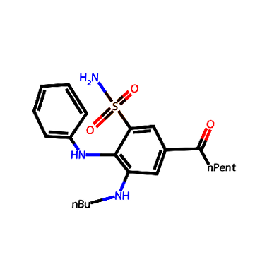 CCCCCC(=O)c1cc(NCCCC)c(Nc2ccccc2)c(S(N)(=O)=O)c1